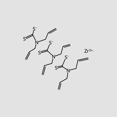 C=CCN(CC=C)C(=S)[S-].C=CCN(CC=C)C(=S)[S-].C=CCN(CC=C)C(=S)[S-].[Zr+3]